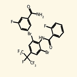 NC(=O)c1cccc(F)c1.O=C(Nc1c(Br)cc(C(F)(C(F)(F)F)C(F)(F)F)cc1Br)c1ccccc1F